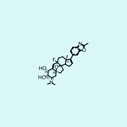 Cc1nc2ccc(C3=CCC4[C@@]56CC[C@]7(C[C@H](N(C)C)[C@@H](O)[C@H](O)C7=CC5(F)CC[C@]34C)O6)cc2o1